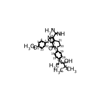 COc1ccc(-n2nc(C(=N)N)c3c2C(=O)N(c2ccc(N(C)C(O)C(C)C)cc2)CC3)cc1